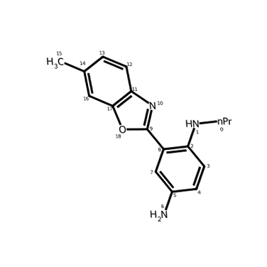 CCCNc1ccc(N)cc1-c1nc2ccc(C)cc2o1